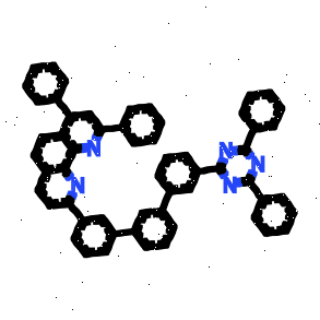 c1ccc(-c2cc(-c3ccccc3)c3ccc4ccc(-c5cccc(-c6cccc(-c7cccc(-c8nc(-c9ccccc9)nc(-c9ccccc9)n8)c7)c6)c5)nc4c3n2)cc1